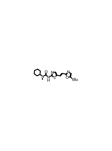 CN(C(=O)Nc1ncc(/C=C/c2ncc(C(C)(C)C)o2)s1)C1CCCCC1